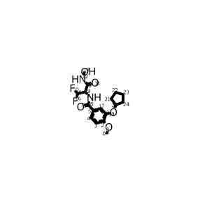 COc1ccc(C(=O)NC(C(=O)NO)C(F)F)cc1OC1CCCC1